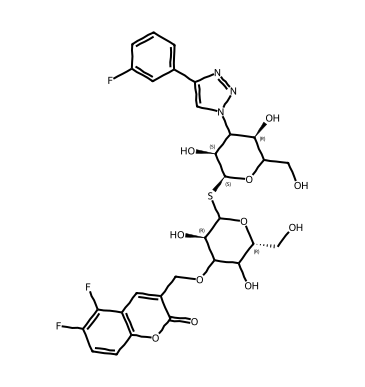 O=c1oc2ccc(F)c(F)c2cc1COC1C(O)[C@@H](CO)OC(S[C@@H]2OC(CO)[C@H](O)C(n3cc(-c4cccc(F)c4)nn3)[C@@H]2O)[C@@H]1O